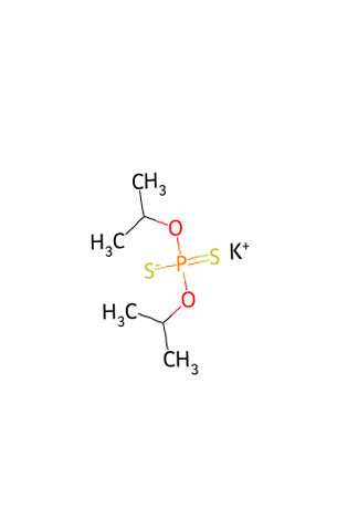 CC(C)OP(=S)([S-])OC(C)C.[K+]